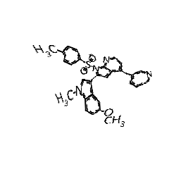 COc1ccc2c(c1)c(-c1cc3c(-c4cccnc4)ccnc3n1S(=O)(=O)c1ccc(C)cc1)cn2C